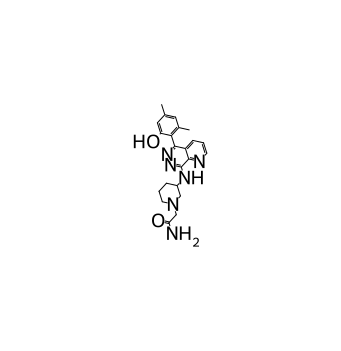 Cc1cc(C)c(-c2nnc(NC3CCCN(CC(N)=O)C3)c3ncccc23)c(O)c1